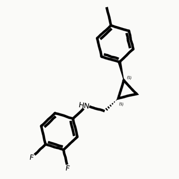 Cc1ccc([C@H]2C[C@@H]2CNc2ccc(F)c(F)c2)cc1